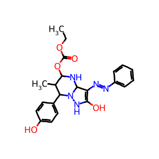 CCOC(=O)OC1NC2C(N=Nc3ccccc3)=C(O)NN2C(c2ccc(O)cc2)C1C